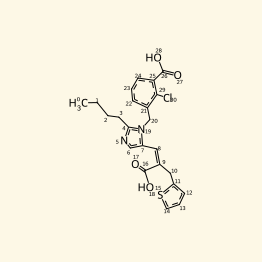 CCCCc1ncc(C=C(Cc2cccs2)C(=O)O)n1Cc1cccc(C(=O)O)c1Cl